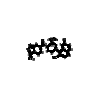 CO[C@H]1CN(c2c(C#N)cnc3ccc(Cl)cc23)CC[C@@H]1C(=O)N1CCn2c(nnc2C(F)(F)F)C1